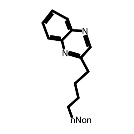 CCCCCCCCCCCCCc1cnc2ccccc2n1